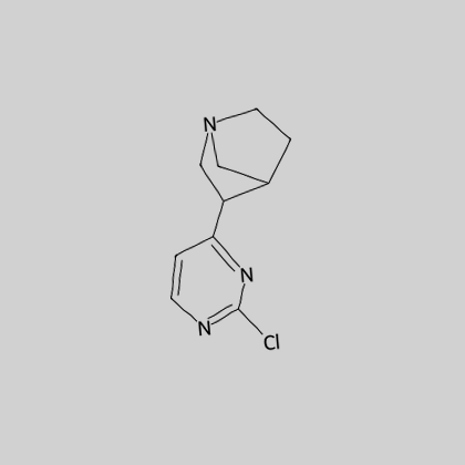 Clc1nccc(C2CN3CCC2C3)n1